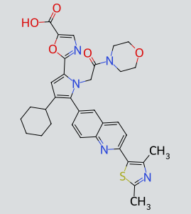 Cc1nc(C)c(-c2ccc3cc(-c4c(C5CCCCC5)cc(-c5ncc(C(=O)O)o5)n4CC(=O)N4CCOCC4)ccc3n2)s1